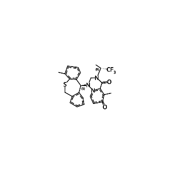 Cc1cccc2c1SCc1ccccc1[C@@H]2N1CN([C@H](C)C(F)(F)F)C(=O)c2c(C)c(=O)ccn21